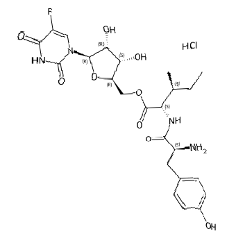 CC[C@H](C)[C@H](NC(=O)[C@@H](N)Cc1ccc(O)cc1)C(=O)OC[C@H]1O[C@@H](n2cc(F)c(=O)[nH]c2=O)[C@H](O)[C@@H]1O.Cl